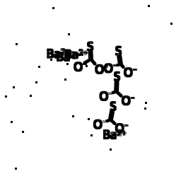 [Ba+2].[Ba+2].[Ba+2].[Ba+2].[O-]C([O-])=S.[O-]C([O-])=S.[O-]C([O-])=S.[O-]C([O-])=S